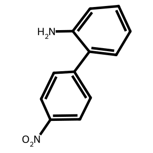 Nc1ccccc1-c1ccc([N+](=O)[O-])cc1